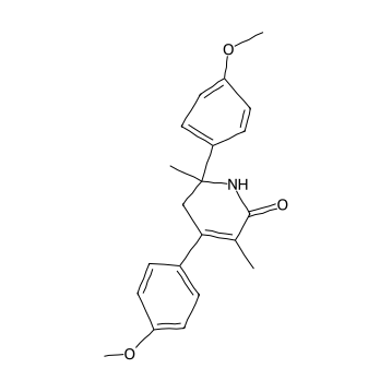 COc1ccc(C2=C(C)C(=O)NC(C)(c3ccc(OC)cc3)C2)cc1